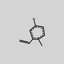 C=[C]c1cc(Br)ccc1C